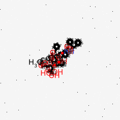 CC(=O)OC[C@@H](OCc1ccccc1)[C@@]1(CCCCCNC(=O)OC(Cc2ccccc2)c2ccccc2)O[C@H](O[C@H]2[C@@H]([C@H]3COC(C)(C)O3)O[C@@](O)(C(O)O)C[C@H]2OCc2ccccc2)[C@@H](OC(C)=O)[C@@H](O)[C@@H]1OCc1ccc(Br)cc1